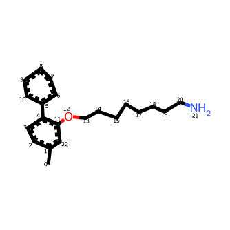 Cc1ccc(-c2ccccc2)c(OCCCCCCCCN)c1